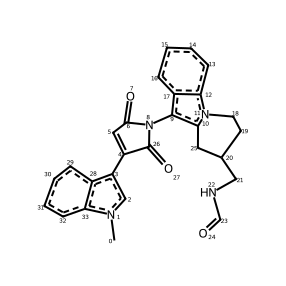 Cn1cc(C2=CC(=O)N(c3c4n(c5ccccc35)CCC(CNC=O)C4)C2=O)c2ccccc21